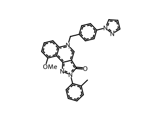 COc1cccc2c1c1nn(-c3ccccc3C)c(=O)c-1cn2Cc1ccc(-n2cccn2)cc1